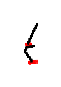 CCCCCCCCCCCCCCCC(=O)O/C(=C/C/C=C\CCCCCCCC(=O)O)CCCCC